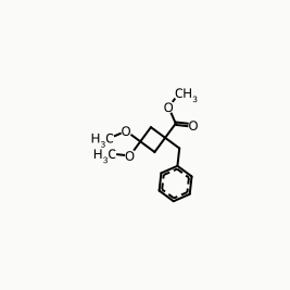 COC(=O)C1(Cc2ccccc2)CC(OC)(OC)C1